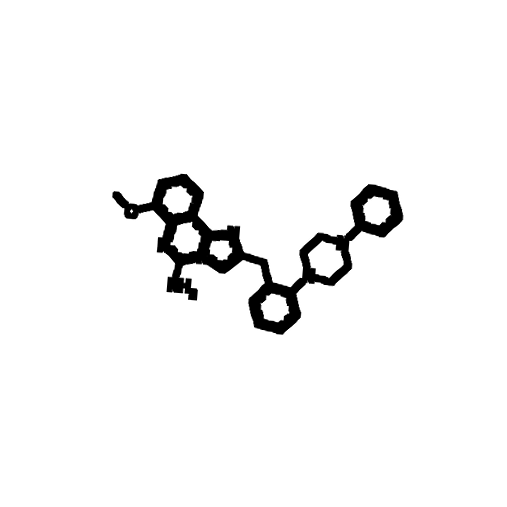 COc1cccc2c1nc(N)n1cc(Cc3ccccc3N3CCN(c4ccccc4)CC3)nc21